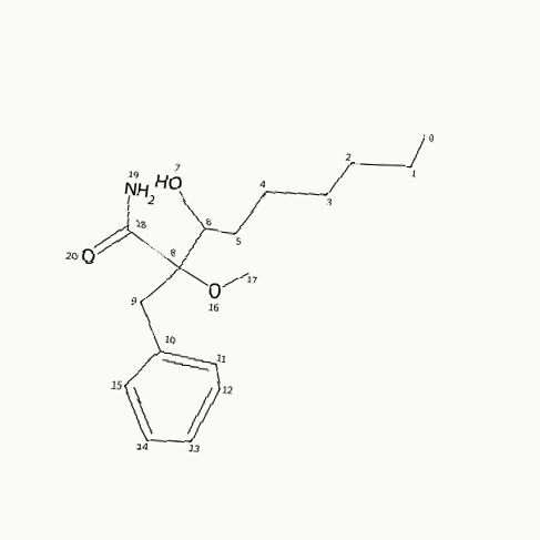 CCCCCCC(O)C(Cc1ccccc1)(OC)C(N)=O